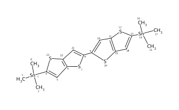 [CH3][Sn]([CH3])([CH3])[c]1cc2sc(-c3cc4s[c]([Sn]([CH3])([CH3])[CH3])cc4s3)cc2s1